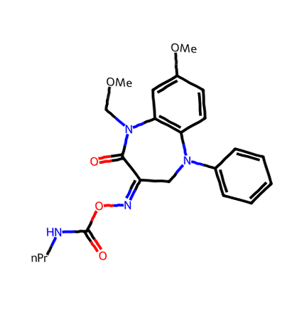 CCCNC(=O)ON=C1CN(c2ccccc2)c2ccc(OC)cc2N(COC)C1=O